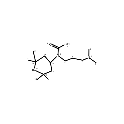 CN(C)CCCN(C(=O)O)C1CC(C)(C)NC(C)(C)C1